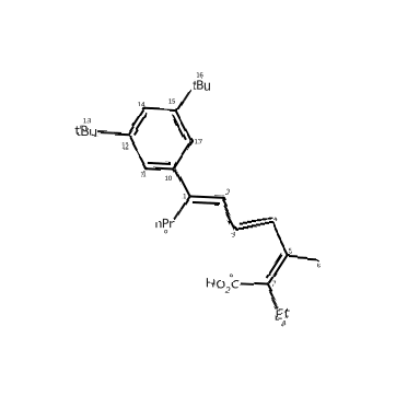 CCCC(=CC=CC(C)=C(CC)C(=O)O)c1cc(C(C)(C)C)cc(C(C)(C)C)c1